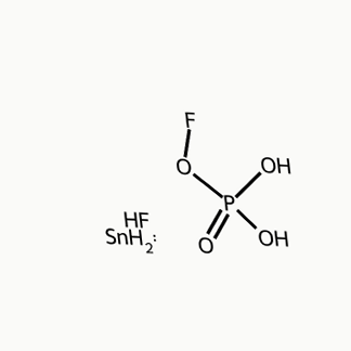 F.O=P(O)(O)OF.[SnH2]